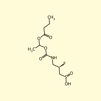 CCCC(=O)OC(C)OC(=O)NC[C@@H](F)CS(=O)O